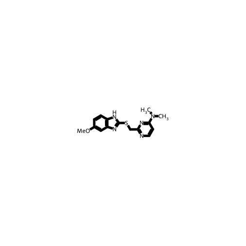 COc1ccc2[nH]c(SCc3nccc(N(C)C)n3)nc2c1